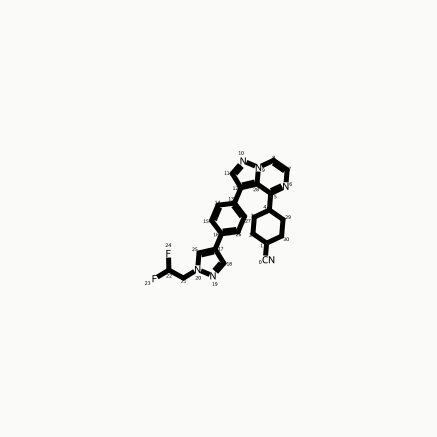 N#CC1CCC(c2nccn3ncc(-c4ccc(-c5cnn(CC(F)F)c5)cc4)c23)CC1